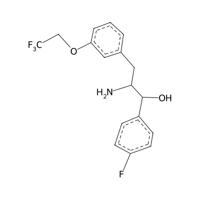 NC(Cc1cccc(OCC(F)(F)F)c1)C(O)c1ccc(F)cc1